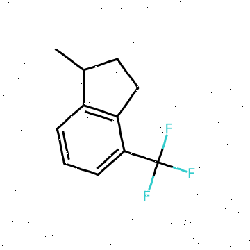 CC1CCc2c1cccc2C(F)(F)F